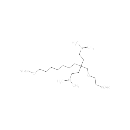 CCCCCCCCCCCCOCC(CCCCCCCOCCCCCC)(CCN(C)C)CCN(C)C